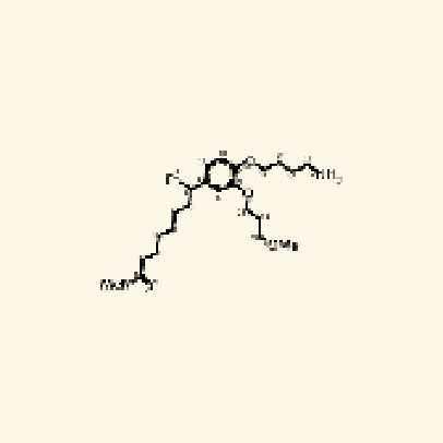 CCC(CCCCCCC(=O)NC)c1ccc(OCCCCN)c(OCCCOC)c1